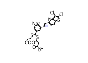 CN(C)C(=O)CCSC(SCCC(=O)[O-])c1cccc(/C=C/c2ccc3sc(Cl)c(Cl)c3n2)c1.[Na+]